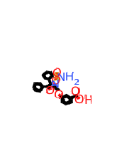 NS(=O)(=O)c1ccccc1-c1nc(COc2cccc(C(=O)O)c2)oc1-c1ccccc1